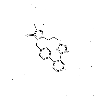 CCCc1cn(C)c(=O)n1Cc1ccc(-c2ccccc2-c2nnn[nH]2)cn1